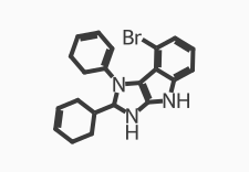 Brc1cccc2[nH]c3c(c12)N(C1=CC=CCC1)C(C1CC=CCC1)N3